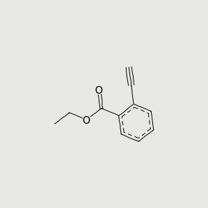 C#Cc1ccccc1C(=O)OCC